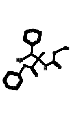 CC(C)(C)OC(=O)NC(C)(C(=O)Oc1ccccc1)C(N)c1ccccc1